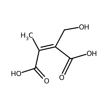 C/C(C(=O)O)=C(\CO)C(=O)O